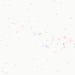 O=C(OCc1ccccc1)C1CCN(C(=O)c2cccc(N3CCO[C@H]([C@@H](O)C(=O)O)C3=O)c2)CC1